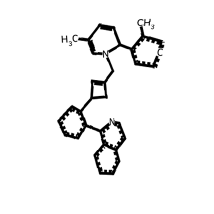 CC1=CN(CC2=CC(c3ccccc3-c3nccc4ccccc34)C2)C(c2ccccc2C)C=C1